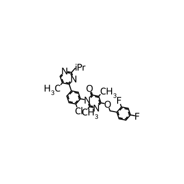 Cc1cnc(C(C)C)nc1-c1ccc(Cl)c(-n2c(C)nc(OCc3ccc(F)cc3F)c(C)c2=O)c1